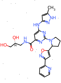 Cc1cc(Nc2cc(C(=O)NC[C@@H](O)CO)nc(N3CCCC3c3cc(-c4ccccn4)no3)n2)n[nH]1